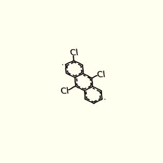 Clc1[c]cc2c(Cl)c3cc[c]cc3c(Cl)c2c1